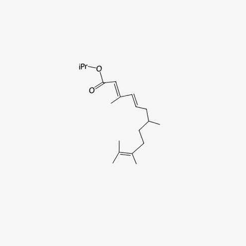 CC(C)=C(C)CCC(C)C/C=C/C(C)=C/C(=O)OC(C)C